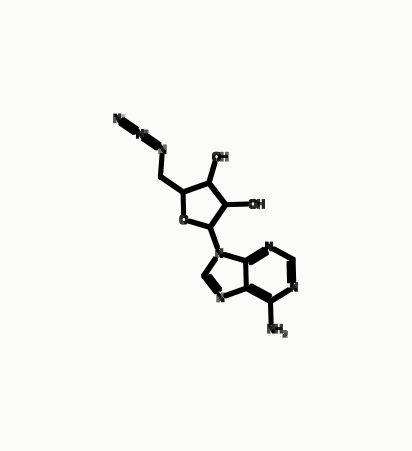 [N-]=[N+]=NCC1OC(n2cnc3c(N)ncnc32)C(O)C1O